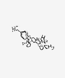 C#Cc1ccc(CN(C(=O)c2cc3c4c(c(N)nc3cc2Cl)C(C)OC4)C2CC2)nc1